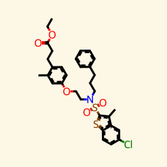 CCOC(=O)CCc1ccc(OCCN(CCCc2ccccc2)S(=O)(=O)c2sc3ccc(Cl)cc3c2C)cc1C